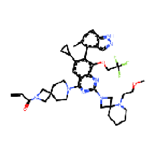 C=CC(=O)N1CC2(CCN(c3nc(N4CC5(CCCCN5CCOC)C4)nc4c(OCC(F)(F)F)c(-c5c(C)ccc6[nH]ncc56)c(C5CC5)cc34)CC2)C1